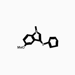 COc1ccc2c(c1)c(Sc1ccccc1)cn2C